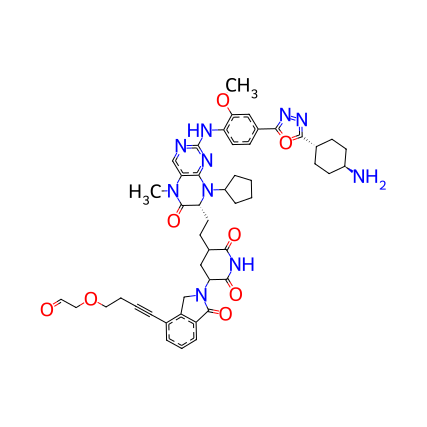 COc1cc(-c2nnc([C@H]3CC[C@H](N)CC3)o2)ccc1Nc1ncc2c(n1)N(C1CCCC1)[C@H](CCC1CC(N3Cc4c(C#CCCOCC=O)cccc4C3=O)C(=O)NC1=O)C(=O)N2C